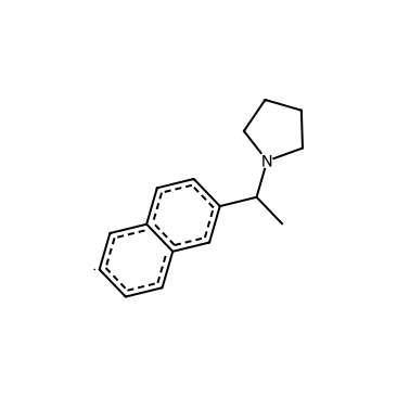 CC(c1ccc2c[c]ccc2c1)N1CCCC1